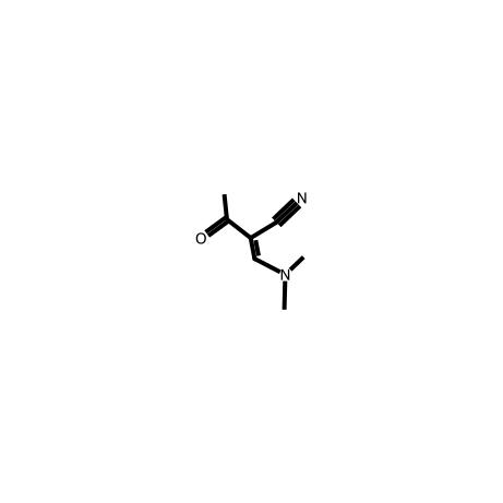 CC(=O)/C(C#N)=C/N(C)C